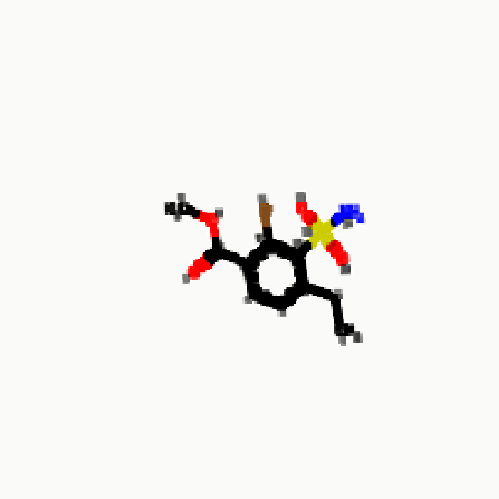 CCc1ccc(C(=O)OC)c(Br)c1S(N)(=O)=O